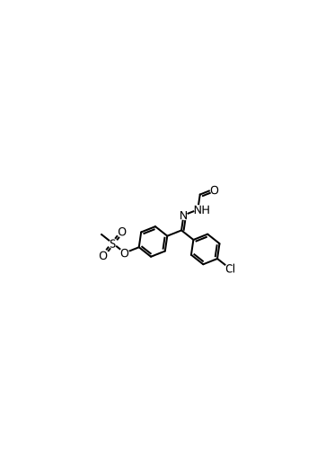 CS(=O)(=O)Oc1ccc(/C(=N/NC=O)c2ccc(Cl)cc2)cc1